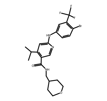 CC(C)c1cc(Nc2ccc(Br)c(C(F)(F)F)c2)ncc1C(=O)NCC1CCOCC1